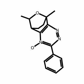 CC1OC2(C)CCC1c1c2nnc(-c2ccccc2)[n+]1[O-]